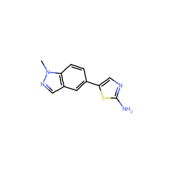 Cn1ncc2cc(-c3cnc(N)s3)ccc21